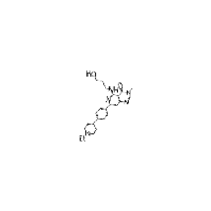 CCN1CCC(c2ccc(-c3cc4ncn(C)c(=O)c4c(NCCCO)n3)cc2)CC1